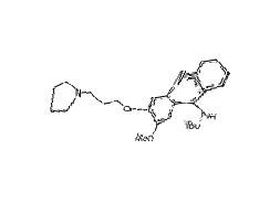 CC[C@@H](C)Nc1c2ccccc2nc2cc(OCCCN3CCCC3)c(OC)cc12